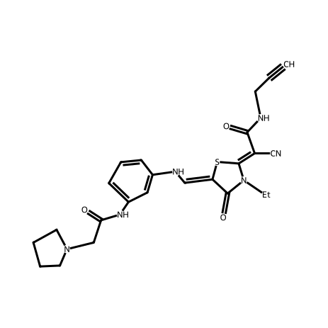 C#CCNC(=O)C(C#N)=c1sc(=CNc2cccc(NC(=O)CN3CCCC3)c2)c(=O)n1CC